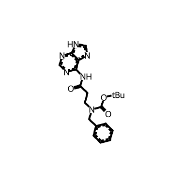 CC(C)(C)OC(=O)N(CCC(=O)Nc1ncnc2[nH]cnc12)Cc1ccccc1